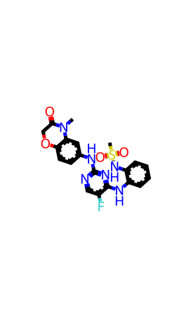 CN1C(=O)COc2ccc(Nc3ncc(F)c(Nc4ccccc4NS(C)(=O)=O)n3)cc21